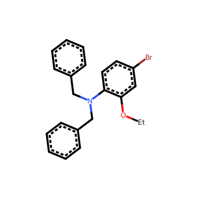 CCOc1cc(Br)ccc1N(Cc1ccccc1)Cc1ccccc1